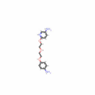 Nc1ccc(OCCOCCOc2ccc(N)cn2)cc1